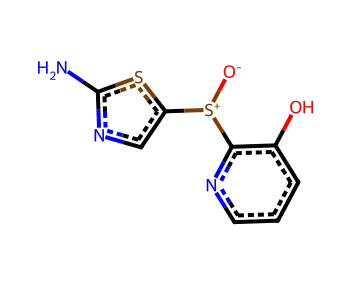 Nc1ncc([S+]([O-])c2ncccc2O)s1